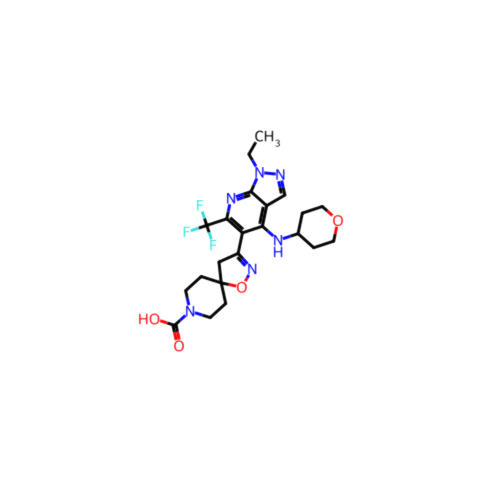 CCn1ncc2c(NC3CCOCC3)c(C3=NOC4(CCN(C(=O)O)CC4)C3)c(C(F)(F)F)nc21